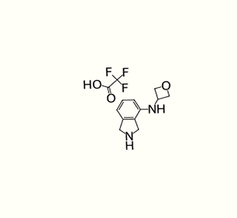 O=C(O)C(F)(F)F.c1cc2c(c(NC3COC3)c1)CNC2